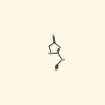 N#CNC1=NC(=O)[CH]N1